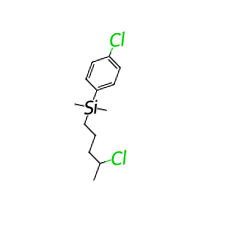 CC(Cl)CCC[Si](C)(C)c1ccc(Cl)cc1